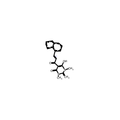 C=C1N(C)C(=O)C(C(=O)/C=C/c2cccc3ccccc23)=C(O)N1C